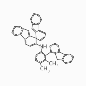 Cc1ccc(NC2=CC=C3C(=Cc4ccccc43)C23C=CC=C2C3=Cc3ccccc32)c(-c2cccc3c2Cc2ccccc2-3)c1C